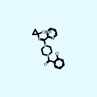 O=C(c1ccccc1Cl)N1CCN(C(=NC2(C(=O)O)CC2)c2ncccn2)CC1